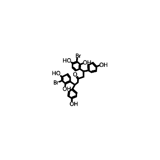 O=C(CC(c1ccc(O)cc1)c1ccc(O)c(Br)c1O)CC(c1ccc(O)cc1)c1ccc(O)c(Br)c1O